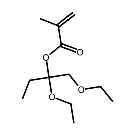 C=C(C)C(=O)OC(CC)(COCC)OCC